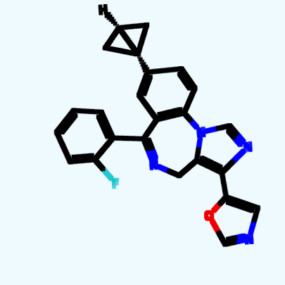 Fc1ccccc1C1=NCc2c(-c3cnco3)ncn2-c2ccc([C@]34C[C@H]3C4)cc21